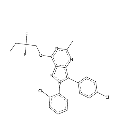 CCC(F)(F)COc1nc(C)nc2c(-c3ccc(Cl)cc3)n(-c3ccccc3Cl)nc12